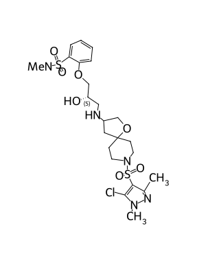 CNS(=O)(=O)c1ccccc1OC[C@@H](O)CNC1COC2(CCN(S(=O)(=O)c3c(C)nn(C)c3Cl)CC2)C1